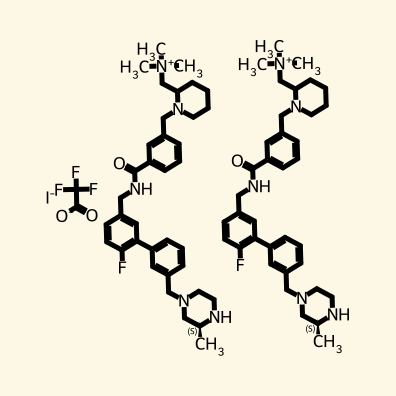 C[C@H]1CN(Cc2cccc(-c3cc(CNC(=O)c4cccc(CN5CCCCC5C[N+](C)(C)C)c4)ccc3F)c2)CCN1.C[C@H]1CN(Cc2cccc(-c3cc(CNC(=O)c4cccc(CN5CCCCC5C[N+](C)(C)C)c4)ccc3F)c2)CCN1.O=C([O-])C(F)(F)F.[I-]